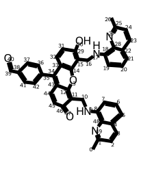 Cc1ccc2cccc(NCc3c4oc5c(CNc6cccc7ccc(C)nc67)c(O)ccc5c(-c5ccc(C=O)cc5)c-4ccc3=O)c2n1